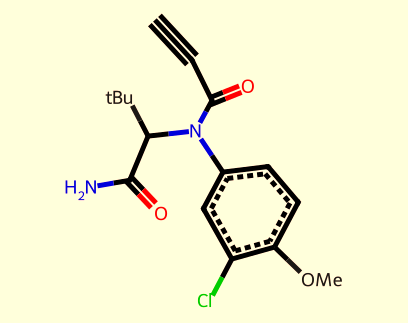 C#CC(=O)N(c1ccc(OC)c(Cl)c1)C(C(N)=O)C(C)(C)C